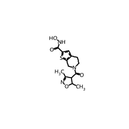 CC1=NOC(C)C1C(=O)N1CCc2cc(C(=O)NO)sc2C1